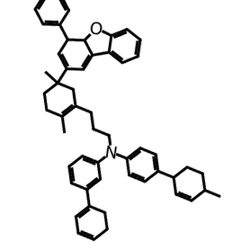 CC1=C(CCCN(c2ccc(C3C=CC(C)CC3)cc2)c2cccc(C3=CC=CCC3)c2)CC(C)(C2=CC(c3ccccc3)C3Oc4ccccc4C3=C2)CC1